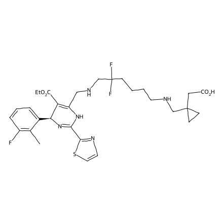 CCOC(=O)C1=C(CNCC(F)(F)CCCCNCC2(CC(=O)O)CC2)NC(c2nccs2)=N[C@H]1c1cccc(F)c1C